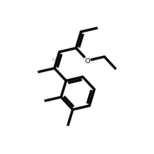 CC=C(/C=C(/C)c1cccc(C)c1C)OCC